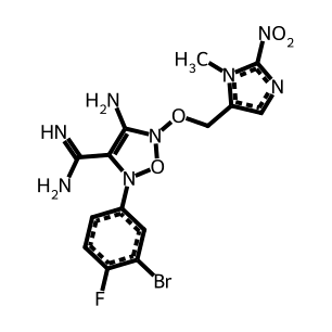 Cn1c(CON2ON(c3ccc(F)c(Br)c3)C(C(=N)N)=C2N)cnc1[N+](=O)[O-]